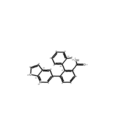 O=C(O)c1cccc(-c2cnc3occc3c2)c1-c1ccccc1F